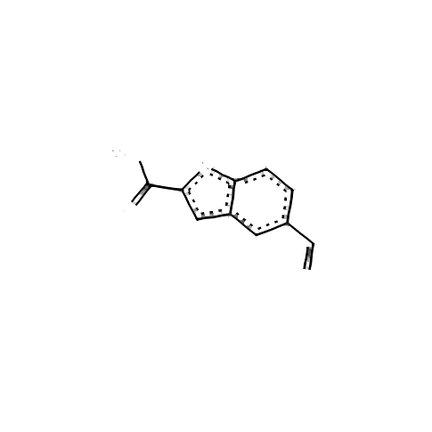 COC(=O)c1cc2cc(C=S)ccc2[nH]1